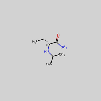 CC[C@@H](NC(C)C)C(N)=O